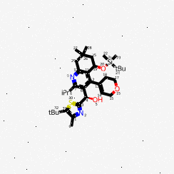 Cc1nc([C@H](O)c2c(C(C)C)nc3c(c2C2=CCOCC2)C(O[Si](C)(C)C(C)(C)C)CC(C)(C)C3)sc1C(C)(C)C